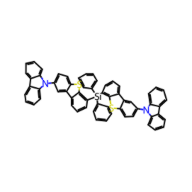 c1ccc([Si](c2ccccc2)(c2cccc3c2sc2ccc(-n4c5ccccc5c5ccccc54)cc23)c2cccc3c2sc2ccc(-n4c5ccccc5c5ccccc54)cc23)cc1